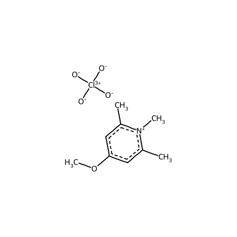 COc1cc(C)[n+](C)c(C)c1.[O-][Cl+3]([O-])([O-])[O-]